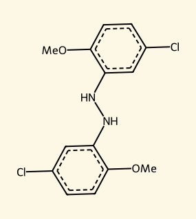 COc1ccc(Cl)cc1NNc1cc(Cl)ccc1OC